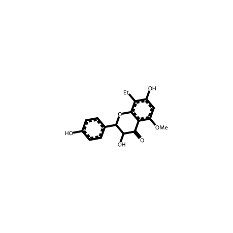 CCc1c(O)cc(OC)c2c1OC(c1ccc(O)cc1)C(O)C2=O